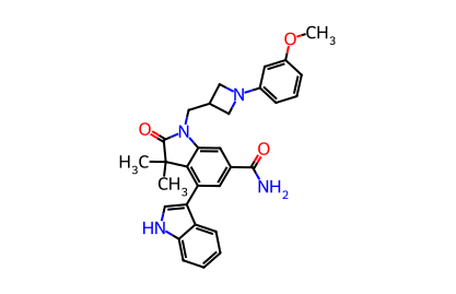 COc1cccc(N2CC(CN3C(=O)C(C)(C)c4c(-c5c[nH]c6ccccc56)cc(C(N)=O)cc43)C2)c1